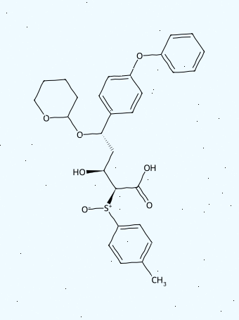 Cc1ccc([S+]([O-])[C@H](C(=O)O)[C@@H](O)C[C@H](OC2CCCCO2)c2ccc(Oc3ccccc3)cc2)cc1